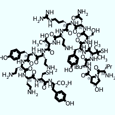 CC[C@H](C)[C@H](NC(=O)[C@@H]1C[C@@H](O)CN1C(=O)[C@@H](N)C(C)C)C(=O)N[C@H](C(=O)N[C@@H](Cc1ccc(O)cc1)C(=O)N[C@@H](CO)C(=O)N[C@@H](CC(N)=O)C(=O)N[C@@H](CCCNC(=N)N)C(=O)N[C@@H](CCN)C(=O)N[C@H](C(=O)N[C@H](CCN)C(=O)N[C@@H](Cc1ccc(O)cc1)C(=O)N[C@@H](CCN)C(=O)N[C@@H](CCN)C(=O)N[C@@H](CS)C(=O)N[C@@H](Cc1ccc(O)cc1)C(=O)O)[C@@H](C)O)C(C)(C)S